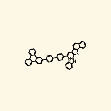 c1ccc2c(c1)ccc1c3cc(-c4ccc(-c5ccc(-c6ccc7c8ccccc8c8ccccc8c7c6)cc5)cc4)n4c5ccccc5nc4c3sc21